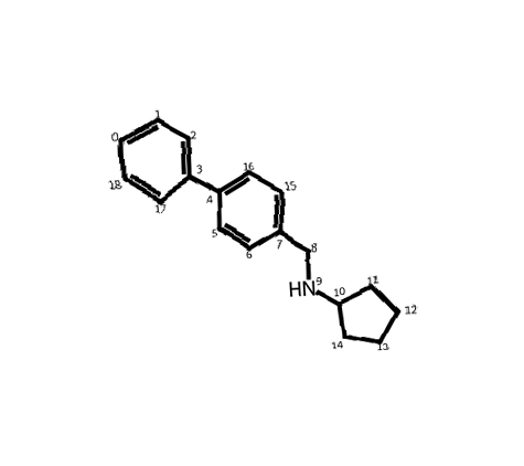 c1ccc(-c2ccc(CNC3CCCC3)cc2)cc1